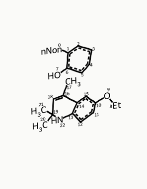 CCCCCCCCCc1ccccc1O.CCOc1ccc2c(c1)C(C)=CC(C)(C)N2